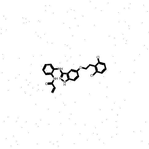 C=CC(=O)Nc1ccccc1Nc1n[nH]c2ccc(OCCc3c(Cl)cccc3Cl)cc12